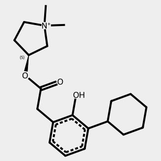 C[N+]1(C)CC[C@H](OC(=O)Cc2cccc(C3CCCCC3)c2O)C1